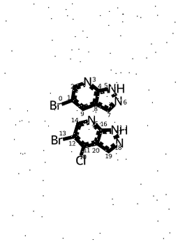 Brc1cnc2[nH]ncc2c1.Clc1c(Br)cnc2[nH]ncc12